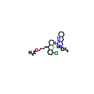 CNCC(CC1CCCCC1)NC(=O)N1CCCC(C(=CCCCOC)c2cccc(Cl)c2F)C1